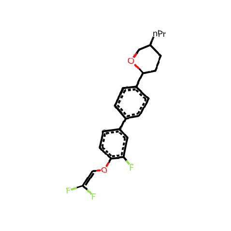 CCCC1CCC(c2ccc(-c3ccc(OC=C(F)F)c(F)c3)cc2)OC1